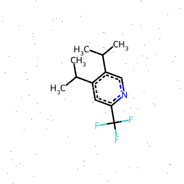 CC(C)c1cnc(C(F)(F)F)cc1C(C)C